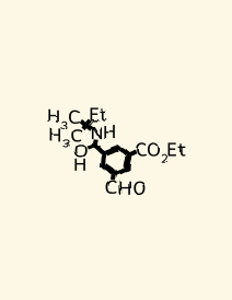 CCOC(=O)c1cc(C=O)cc(C(O)NC(C)(C)CC)c1